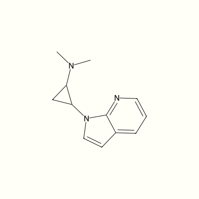 CN(C)C1CC1n1ccc2cccnc21